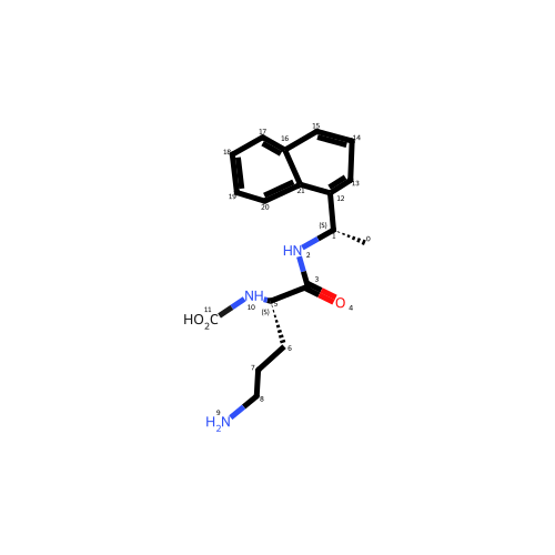 C[C@H](NC(=O)[C@H](CCCN)NC(=O)O)c1cccc2ccccc12